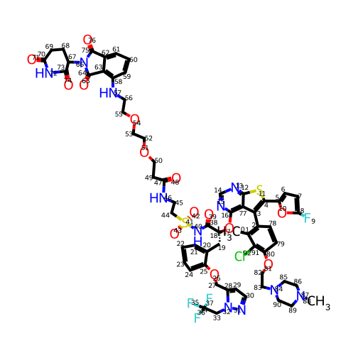 Cc1c(-c2c(-c3ccc(F)o3)sc3ncnc(O[C@H](Cc4ccccc4OCc4ccnn4CC(F)(F)F)C(=O)NS(=O)(=O)CCNC(=O)CCOCCOCCNc4cccc5c4C(=O)N(C4CCC(=O)NC4=O)C5=O)c23)ccc(OCCN2CCN(C)CC2)c1Cl